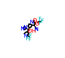 COc1nc2ccc(C(O)(c3ccnc(C(F)(F)F)c3)c3cncn3C)cc2c(C#N)c1OCC(F)(F)F